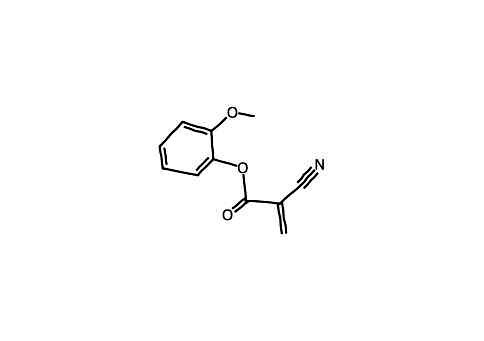 C=C(C#N)C(=O)Oc1ccccc1OC